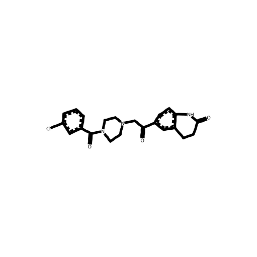 O=C1CCc2cc(C(=O)CN3CCN(C(=O)c4cccc(Cl)c4)CC3)ccc2N1